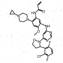 C=CC(=O)Nc1cc(Nc2cc(N3OCCC3c3c(F)ccc(F)c3Cl)ncn2)c(OC)cc1N1CCN(C2CC2)CC1